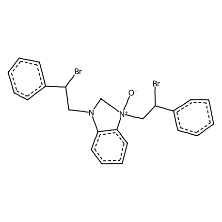 [O-][N+]1(CC(Br)c2ccccc2)CN(CC(Br)c2ccccc2)c2ccccc21